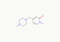 CN1CCN(Cc2ccn(C)c(=O)c2)CC1